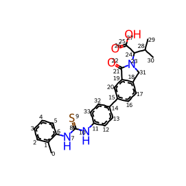 Cc1ccccc1NC(=S)Nc1ccc(-c2ccc3c(c2)C(=O)N(C(C(=O)O)C(C)C)C3)cc1